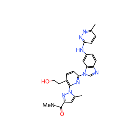 CNC(=O)c1cc(C)n(-c2nc(-n3cnc4ccc(Nc5ccc(C)nn5)cc43)ccc2CCO)n1